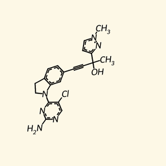 Cn1ccc(C(C)(O)C#Cc2ccc3c(c2)N(c2nc(N)ncc2Cl)CC3)n1